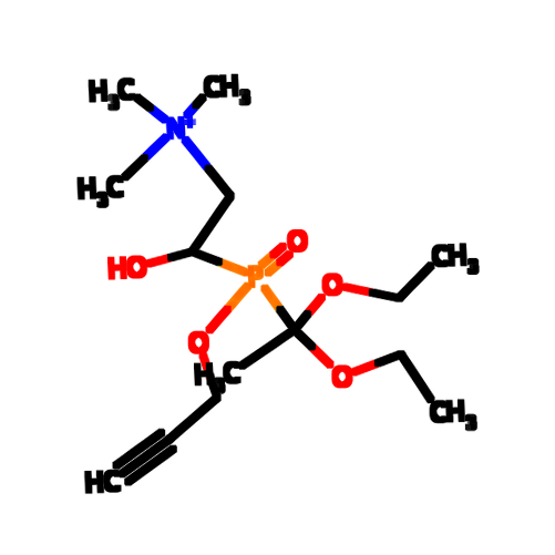 C#CCOP(=O)(C(O)C[N+](C)(C)C)C(C)(OCC)OCC